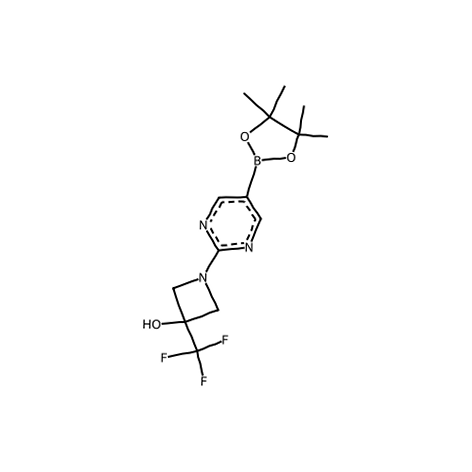 CC1(C)OB(c2cnc(N3CC(O)(C(F)(F)F)C3)nc2)OC1(C)C